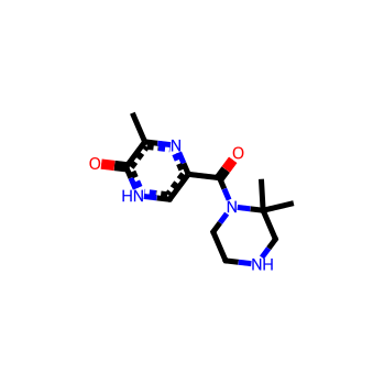 Cc1nc(C(=O)N2CCNCC2(C)C)c[nH]c1=O